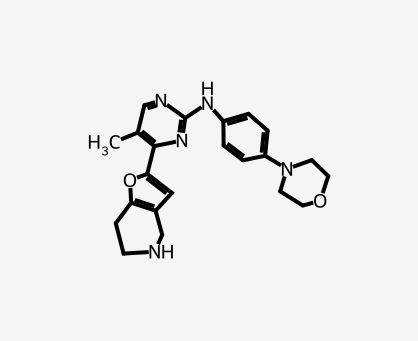 Cc1cnc(Nc2ccc(N3CCOCC3)cc2)nc1-c1cc2c(o1)CCNC2